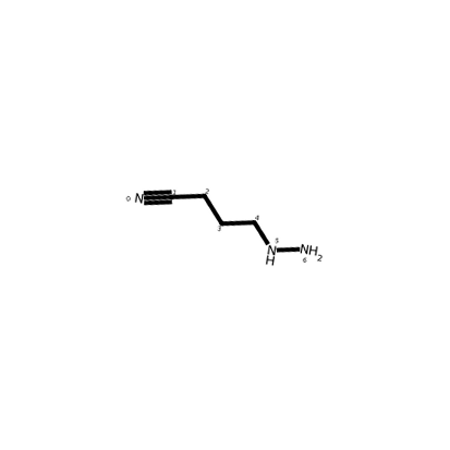 N#CCCCNN